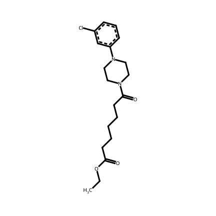 CCOC(=O)CCCCCC(=O)N1CCN(c2cccc(Cl)c2)CC1